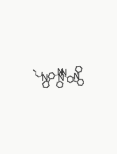 C=C/C=C\C(=C)n1c2ccccc2c2cc(-c3nnc(-c4ccc5c6ccccc6n(-c6ccccc6)c5c4)n3-c3ccccc3)ccc21